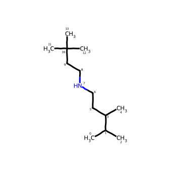 CC(C)C(C)CCNCCC(C)(C)C